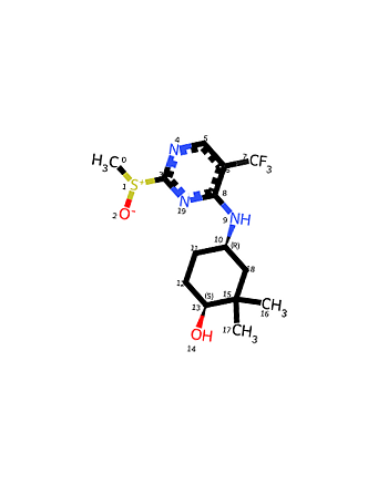 C[S+]([O-])c1ncc(C(F)(F)F)c(N[C@@H]2CC[C@H](O)C(C)(C)C2)n1